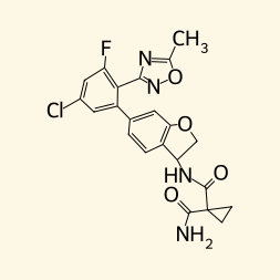 Cc1nc(-c2c(F)cc(Cl)cc2-c2ccc3c(c2)OCC3NC(=O)C2(C(N)=O)CC2)no1